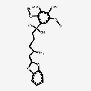 CCOc1cc(C(C#N)(CCCC(N)CC2Oc3ccccc3O2)C(C)C)c(OCC)c(OC)c1OC